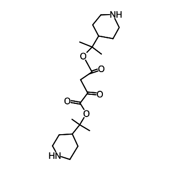 CC(C)(OC(=O)CC(=O)C(=O)OC(C)(C)C1CCNCC1)C1CCNCC1